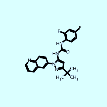 CC(C)(C)c1cc(NC(=O)Nc2ccc(F)cc2F)n(-c2ccc3ncccc3c2)n1